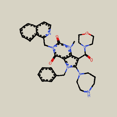 Cn1c(=O)n(Cc2nccc3ccccc23)c(=O)c2c1c(C(=O)N1CCOCC1)c(N1CCCNCC1)n2Cc1ccccc1